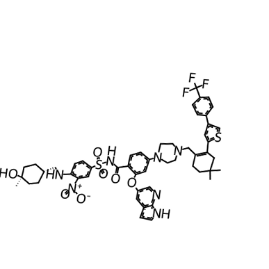 CC1(C)CCC(CN2CCN(c3ccc(C(=O)NS(=O)(=O)c4ccc(NC[C@H]5CC[C@](C)(O)CC5)c([N+](=O)[O-])c4)c(Oc4cnc5[nH]ccc5c4)c3)CC2)=C(c2cc(-c3ccc(C(F)(F)F)cc3)cs2)C1